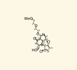 COCCOCCOc1ncc(Cl)c2c1c(=O)cc(CO)n2C1C=CC=C1Cl